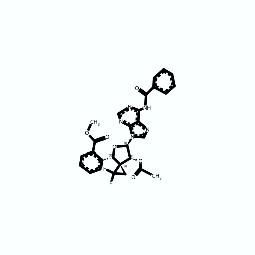 COC(=O)c1ccccc1[C@@H]1O[C@@H](n2cnc3c(NC(=O)c4ccccc4)ncnc32)[C@H](OC(C)=O)[C@@]12CC2(F)F